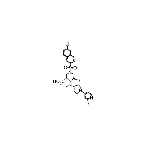 Cc1cc(N2CCC(N(C)N3C(=O)CN(S(=O)(=O)c4ccc5cc(Cl)ccc5c4)CC3C(=O)O)CC2)ccn1